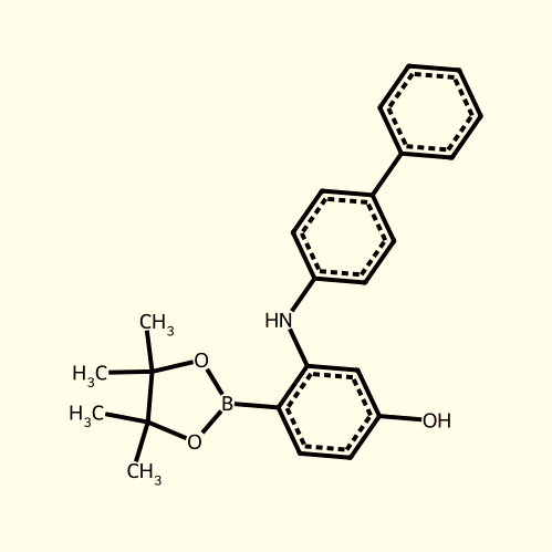 CC1(C)OB(c2ccc(O)cc2Nc2ccc(-c3ccccc3)cc2)OC1(C)C